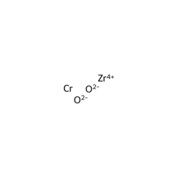 [Cr].[O-2].[O-2].[Zr+4]